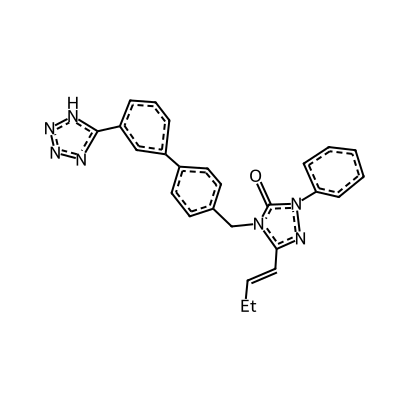 CC/C=C/c1nn(-c2ccccc2)c(=O)n1Cc1ccc(-c2cccc(-c3nnn[nH]3)c2)cc1